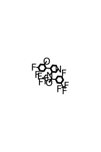 COc1cc(F)c(F)cc1-c1ccncc1N(CC(F)(F)F)C(=O)c1cc(F)cc(C(F)(F)F)c1